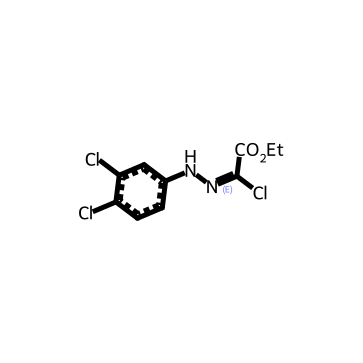 CCOC(=O)/C(Cl)=N\Nc1ccc(Cl)c(Cl)c1